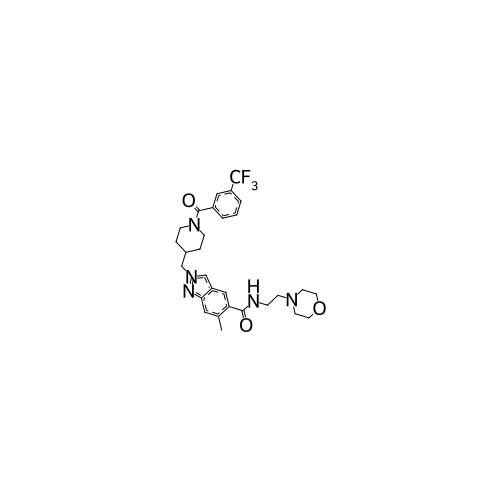 Cc1cc2nn(CC3CCN(C(=O)c4cccc(C(F)(F)F)c4)CC3)cc2cc1C(=O)NCCN1CCOCC1